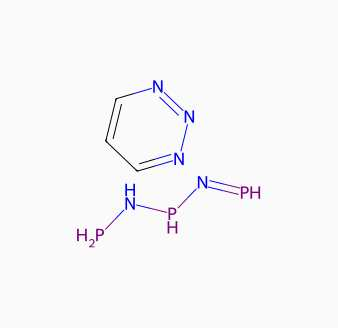 P=NPNP.c1cnnnc1